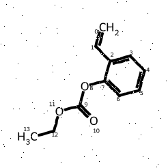 C=Cc1ccccc1OC(=O)OCC